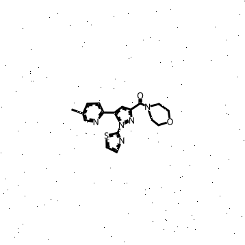 Cc1ccc(-c2cc(C(=O)N3CCOCC3)nn2-c2nccs2)nc1